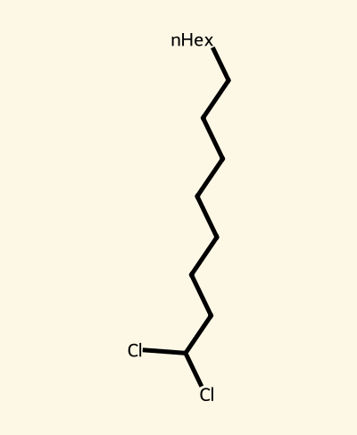 CCCCCCCCCCCCCC(Cl)Cl